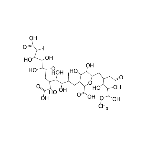 COC(O)C(O)C(O)C(CC=O)CC1OC(C(=O)O)C(CC(I)C(O)C(O)C(CC(O)C(O)C(O)C(O)C(I)C(=O)O)C(O)C(=O)O)C(O)C1O